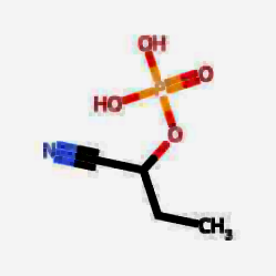 CCC(C#N)OP(=O)(O)O